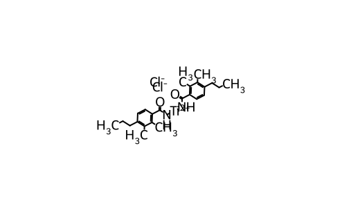 CCCc1ccc(C(=O)[NH][Ti+2][NH]C(=O)c2ccc(CCC)c(C)c2C)c(C)c1C.[Cl-].[Cl-]